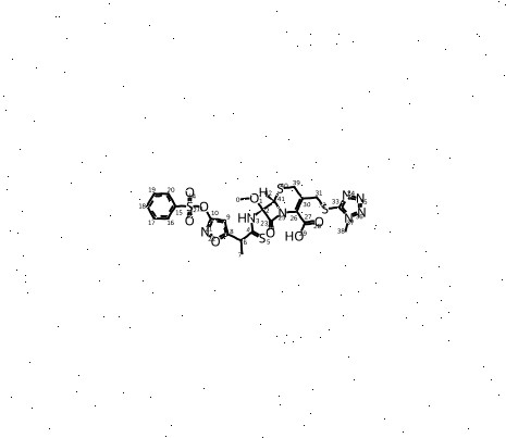 CO[C@@]1(NC(=S)C(C)c2cc(OS(=O)(=O)c3ccccc3)no2)C(=O)N2C(C(=O)O)=C(CSc3nnnn3C)CS[C@H]21